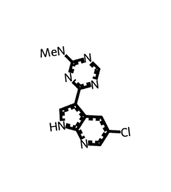 CNc1ncnc(-c2c[nH]c3ncc(Cl)cc23)n1